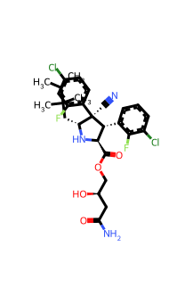 CC(C)C(C)(C)C[C@H]1N[C@H](C(=O)OC[C@H](O)CC(N)=O)[C@@H](c2cccc(Cl)c2F)[C@]1(C#N)c1ccc(Cl)cc1F